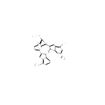 CCCc1ccc(C2=Cc3c(C(C)C)cccc3[CH]2[Zr+2][CH]2C(c3ccc(CCC)o3)=Cc3c(C(C)C)cccc32)o1.[Cl-].[Cl-]